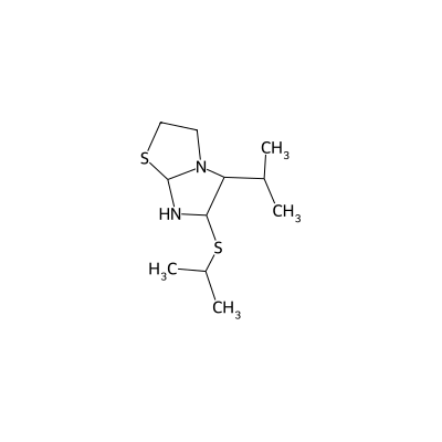 CC(C)SC1NC2SCCN2C1C(C)C